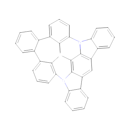 c1ccc2c(c1)-c1cccc3c1B1c4c-2cccc4-n2c4ccccc4c4cc5c6ccccc6n-3c5c1c42